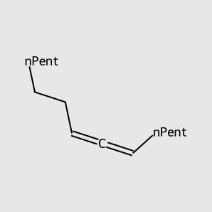 CCCCCC=C=CCCCCCCC